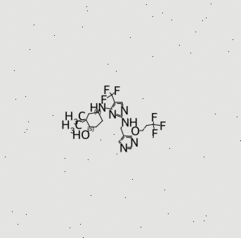 CC1(C)C[C@H](Nc2nc(NCc3cncnc3OCCC(F)(F)F)ncc2C(F)(F)F)CC[C@@H]1O